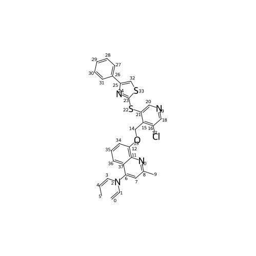 C=CN(/C=C\C)c1cc(C)nc2c(OCc3c(Cl)cncc3Sc3nc(-c4ccccc4)cs3)cccc12